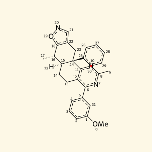 COc1cccc(-c2nc(C)nc3c2CC[C@H]2[C@H](C)c4oncc4C[C@]32c2ccccc2)c1